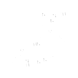 Cn1cnc(-c2cccc3c2OCCOCCOc2nnc(NC(=O)C4CC4)cc2N3)n1